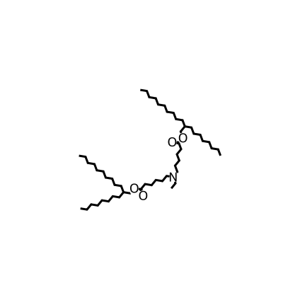 CCCCCCCCCCC(CCCCCCCC)COC(=O)CCCCCN(CC)CCCCCC(=O)OCC(CCCCCCCC)CCCCCCCCCC